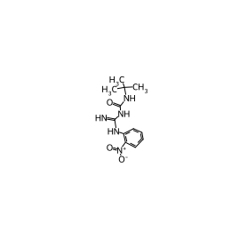 CC(C)(C)NC(=O)NC(=N)Nc1ccccc1[N+](=O)[O-]